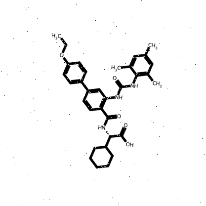 CCOc1ccc(-c2ccc(C(=O)N[C@H](C(=O)O)C3CCCCC3)c(NC(=O)Nc3c(C)cc(C)cc3C)c2)cc1